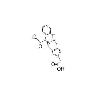 O=C(O)Cc1cc2c(s1)CCN(C(C(=O)C1CC1)c1ccccc1F)C2